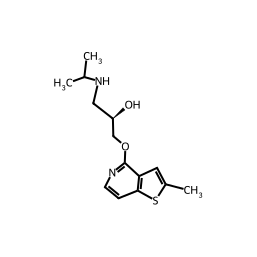 Cc1cc2c(OC[C@H](O)CNC(C)C)nccc2s1